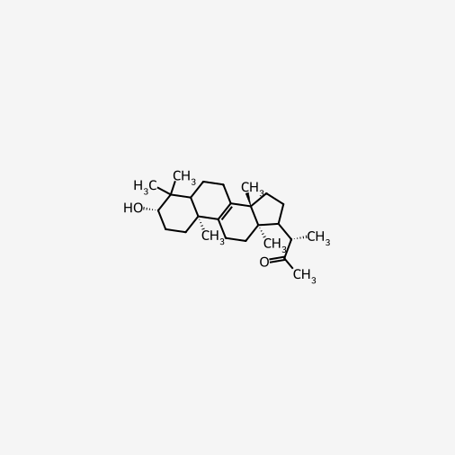 CC(=O)[C@@H](C)C1CC[C@@]2(C)C3=C(CC[C@]12C)[C@@]1(C)CC[C@H](O)C(C)(C)C1CC3